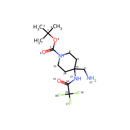 CC(C)(C)OC(=O)N1CCC(CN)(NC(=O)C(F)(F)F)CC1